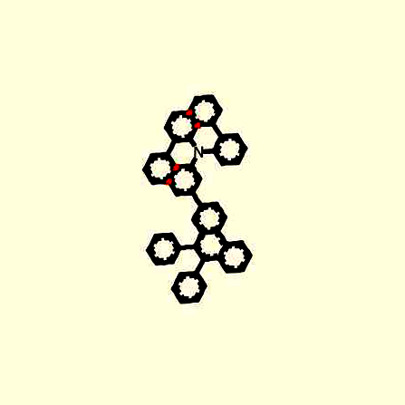 c1ccc(-c2ccccc2N(c2cccc(-c3ccc4c(c3)c(-c3ccccc3)c(-c3ccccc3)c3ccccc34)c2)c2ccccc2-c2ccccc2)cc1